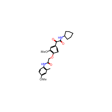 COc1ccc(NC(=O)COc2ccc(C(=O)C(=O)NC3CCCCC3)cc2OC)c(C)c1